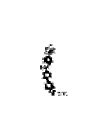 CCCCC[C@H]1CC[C@H]([C@H]2CC[C@H](C(=O)Oc3ccc(OC(F)(F)C(F)F)cc3)CC2)CC1